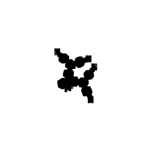 N#Cc1ccc(-c2cc(-c3ccc(C#N)cc3)cc(-c3ccc4c(c3)c3cc(-c5cc(-c6ccc(C#N)cc6)cc(-c6ccc(C#N)cc6)c5)ccc3n4-c3ccccc3C(F)(F)F)c2)cc1